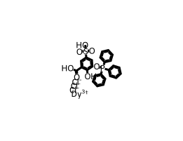 O=C(O)c1cc(S(=O)(=O)O)ccc1O.O=P(c1ccccc1)(c1ccccc1)c1ccccc1.[Cl-].[Cl-].[Cl-].[Dy+3]